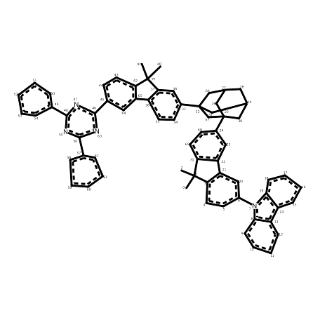 CC1(C)c2ccc(-n3c4ccccc4c4ccccc43)cc2-c2cc(C34CC5CC(C3)CC(c3ccc6c(c3)C(C)(C)c3ccc(-c7nc(-c8ccccc8)nc(-c8ccccc8)n7)cc3-6)(C5)C4)ccc21